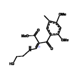 COC(=O)/C(=C\NCCO)C(=O)c1cc(C)c(OC)cc1OC